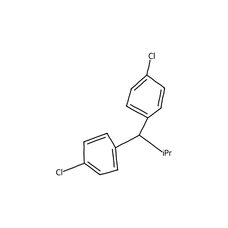 CC(C)C(c1ccc(Cl)cc1)c1ccc(Cl)cc1